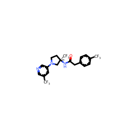 O=C(Cc1ccc(C(F)(F)F)cc1)N[C@]1(C(F)(F)F)CCN(c2cncc(C(F)(F)F)c2)C1